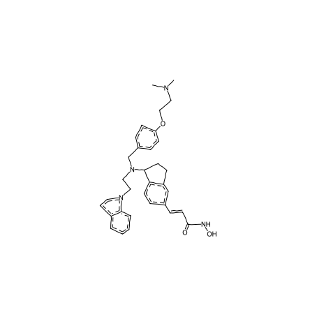 CN(C)CCOc1ccc(CN(CCn2ccc3ccccc32)C2CCc3cc(C=CC(=O)NO)ccc32)cc1